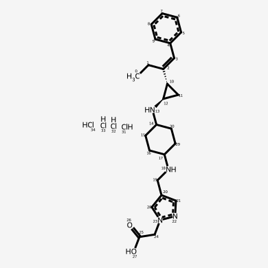 CC/C(=C\c1ccccc1)[C@@H]1C[C@H]1NC1CCC(NCc2cnn(CC(=O)O)c2)CC1.Cl.Cl.Cl.Cl